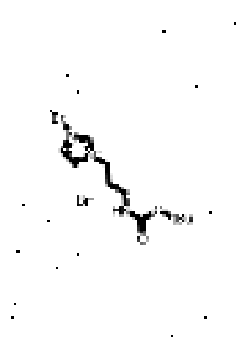 CCn1cc[n+](CCCNC(=O)OC(C)(C)C)c1.[Br-]